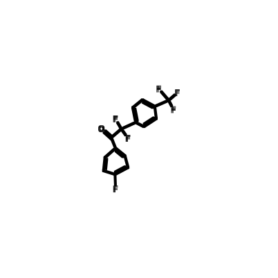 O=C(c1ccc(F)cc1)C(F)(F)c1ccc(C(F)(F)F)cc1